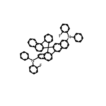 Fc1ccccc1N(c1ccccc1)c1ccc2cc3c(cc2c1)C1(c2ccccc2-c2c1ccc1ccccc21)c1c-3ccc2cc(N(c3ccccc3)c3ccccc3F)ccc12